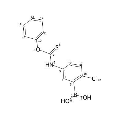 OB(O)c1cc(NC(=S)Oc2ccccc2)ccc1Cl